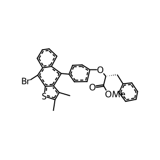 COC(=O)[C@@H](Cc1ccccc1)Oc1ccc(-c2c3ccccc3c(Br)c3sc(C)c(C)c23)cc1